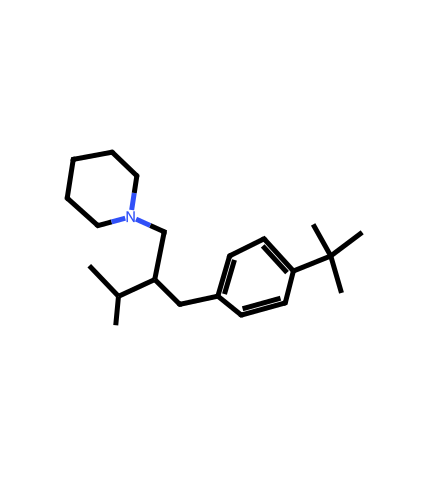 CC(C)C(Cc1ccc(C(C)(C)C)cc1)CN1CCCCC1